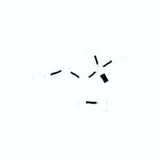 CCCCOOP(=O)(O)O.CCO